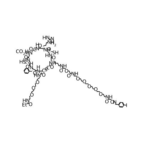 CCC(=O)NCCOCCOCCOCCNC(=O)[C@@H]1CSCC(=O)N[C@@H](CCCCNC(=O)COCC(=O)NCCOCCOCCOCCOCCOCCNC(=O)CO/N=C/c2ccc(I)cc2)C(=O)N[C@@H](CS)C(=O)N[C@@H](CCCNC(=N)N)C(=O)NCC(=O)N[C@@H](CC(=O)O)C(=O)N[C@@H](CS)C(=O)N[C@@H](Cc2ccccc2)C(=O)N1